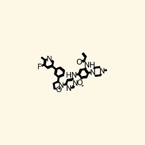 C=CC(=O)Nc1cc(Nc2cc(N3OCCC3c3cccc(-c4cnc(C)c(F)c4)c3)ncn2)c(OC)cc1N1CCN(C)CC1